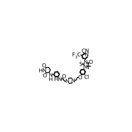 CC1(C)C(=O)N(c2cnc(C#N)c(C(F)(F)F)c2)C(=S)N1c1ccc(OCCN2CCN(CC(=O)Nc3cccc(NC4CCC(=O)NC4=O)c3)CC2)c(Cl)c1